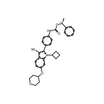 C[C@H](OC(=O)Nc1ccc(-c2c(C#N)c3ccc(OC4CCOCC4)cc3n2C2CCC2)cc1)c1ccccc1